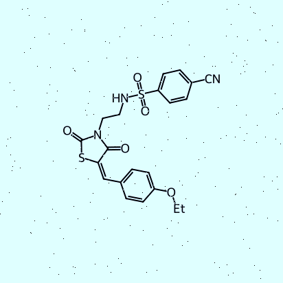 CCOc1ccc(C=C2SC(=O)N(CCNS(=O)(=O)c3ccc(C#N)cc3)C2=O)cc1